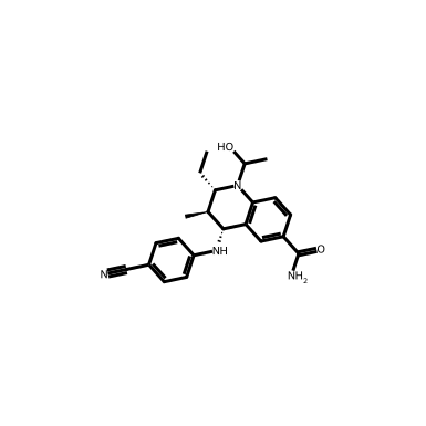 CC[C@H]1[C@H](C)[C@@H](Nc2ccc(C#N)cc2)c2cc(C(N)=O)ccc2N1C(C)O